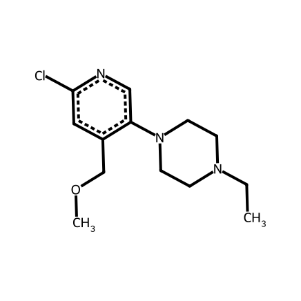 CCN1CCN(c2cnc(Cl)cc2COC)CC1